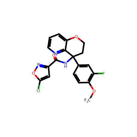 O=C(NC1(c2ccc(OC(F)(F)F)c(F)c2)CCOc2cccnc21)c1cc(Cl)on1